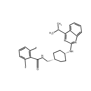 CN(C)c1nc(N[C@H]2CC[C@@H](CNC(=O)c3c(F)cccc3F)CC2)nc2ccccc12